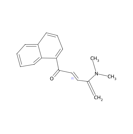 C=C(/C=C/C(=O)c1cccc2ccccc12)N(C)C